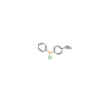 CC(C)(C)c1ccc(P(Cl)c2ccccc2)cc1